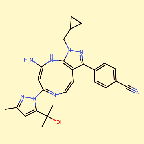 Cc1cc(C(C)(C)O)n(-c2cc(N)[nH]c3c(ccn2)c(-c2ccc(C#N)cc2)nn3CC2CC2)n1